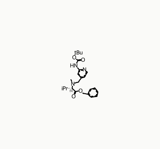 CC(C)[C@@H](C(=O)OCc1ccccc1)N(C)Cc1ccnc(NC(=O)OC(C)(C)C)c1